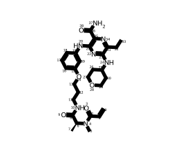 C=CC(=O)N(C)[C@@H](C)C(=O)NCCCOc1cccc(Nc2nc(NC3CCOCC3)c(CC)nc2C(N)=O)c1